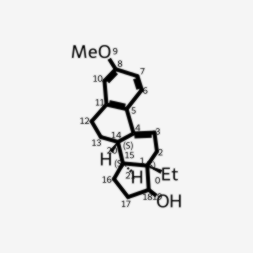 CC[C@]12CC=C3c4ccc(OC)cc4CC[C@H]3[C@@H]1CCC2O